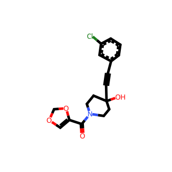 O=C(C1=COCO1)N1CCC(O)(C#Cc2cccc(Cl)c2)CC1